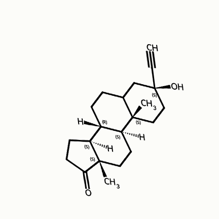 C#C[C@]1(O)CC[C@@]2(C)C(CC[C@@H]3[C@@H]2CC[C@]2(C)C(=O)CC[C@@H]32)C1